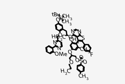 C=CCOCC(COS(=O)(=O)c1ccc(C)cc1)Oc1cc(C)c(-c2c(-c3ccc(F)cc3)sc3ncnc(OC(Cc4cc(O[Si](C)(C)C(C)(C)C)ccc4OCc4ccnc(-c5ccccc5OC)n4)C(=O)O)c23)c(C)c1